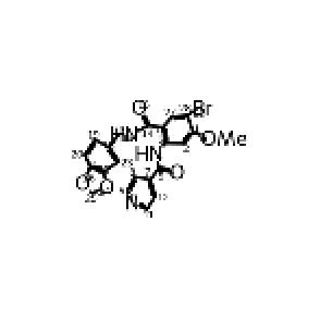 COc1cc(NC(=O)c2ccncc2)c(C(=O)NCc2ccc3c(c2)OCO3)cc1Br